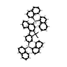 CC1(C)c2cc(N(c3cccc4ccccc34)c3cccc4ccccc34)ccc2-c2c1cc(N(c1cccc3ccccc13)c1cccc3ccccc13)c1ccccc21